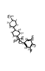 CCC1CCC(C2CCC(C(F)(F)Oc3cc(F)c(C)c(F)c3)CC2)CC1